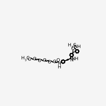 CNC(=O)c1ccccc1Sc1ccc2c(C#Cc3ccc(NC(=O)COCCOCCOCCOCCOCCOC)cc3)n[nH]c2c1